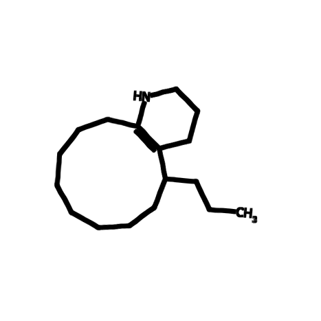 CCCC1CCCCCCCCC2=C1CCCN2